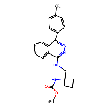 CC(C)(C)OC(=O)NC1(CNc2nnc(-c3ccc(C(F)(F)F)cc3)c3ccccc23)CCC1